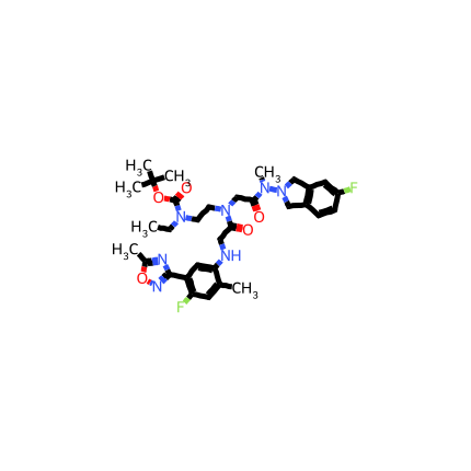 CCN(CCN(CC(=O)N(C)N1Cc2ccc(F)cc2C1)C(=O)CNc1cc(-c2noc(C)n2)c(F)cc1C)C(=O)OC(C)(C)C